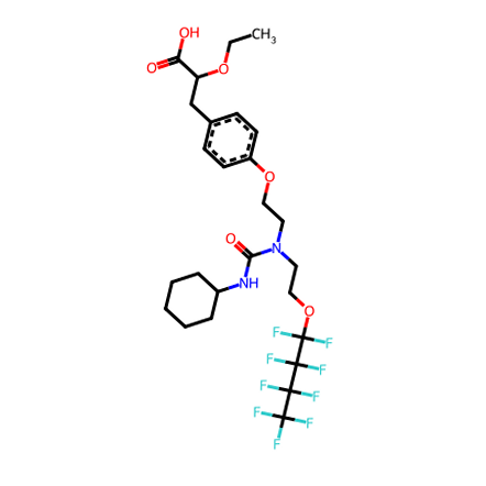 CCOC(Cc1ccc(OCCN(CCOC(F)(F)C(F)(F)C(F)(F)C(F)(F)F)C(=O)NC2CCCCC2)cc1)C(=O)O